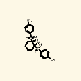 Cc1ccc(S(=O)(=O)C2(N)CCCCC2(N)S(=O)(=O)c2ccc(C)cc2)cc1